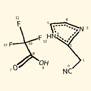 N#CCc1ncc[nH]1.O=C(O)C(F)(F)F